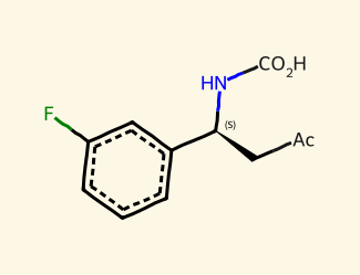 CC(=O)C[C@H](NC(=O)O)c1cccc(F)c1